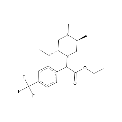 CCOC(=O)C(c1ccc(C(F)(F)F)cc1)N1C[C@H](C)N(C)C[C@H]1CC